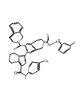 C[C@@H]1Cc2ccccc2CN1C(=O)c1cc2c(cc1-c1cc(C(=O)N(C)c3ccc(O)cc3)c3n1CCCC3)CN(C(=O)COc1cccc(Cl)c1)C2